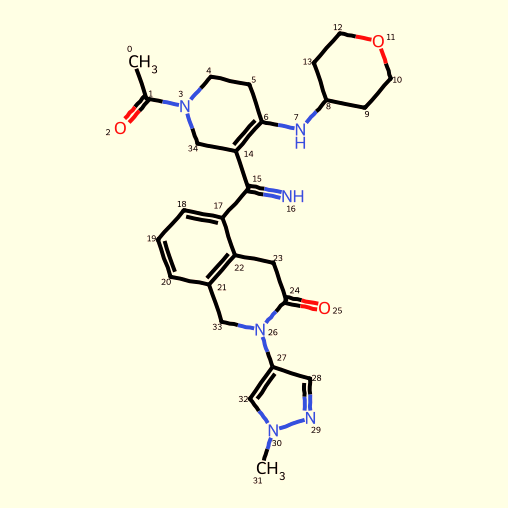 CC(=O)N1CCC(NC2CCOCC2)=C(C(=N)c2cccc3c2CC(=O)N(c2cnn(C)c2)C3)C1